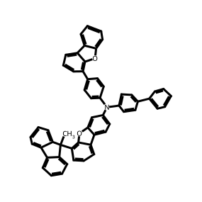 CC1(c2cccc3c2oc2cc(N(c4ccc(-c5ccccc5)cc4)c4ccc(-c5cccc6c5oc5ccccc56)cc4)ccc23)c2ccccc2-c2ccccc21